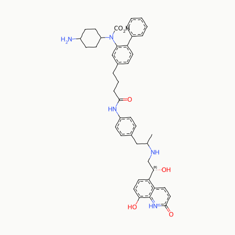 CC(Cc1ccc(NC(=O)CCCc2ccc(-c3ccccc3)c(N(C(=O)O)C3CCC(N)CC3)c2)cc1)NC[C@H](O)c1ccc(O)c2[nH]c(=O)ccc12